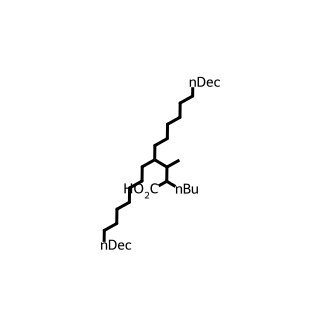 CCCCCCCCCCCCCCCCCC(CCCCCCCCCCCCCCCC)C(C)C(CCCC)C(=O)O